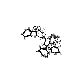 O=C(O)C1(c2ccccc2)CCN(CCC(c2ccccc2)(c2cccnc2)c2nnn[nH]2)CC1